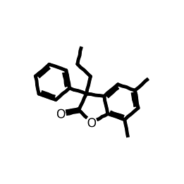 CCCC1(c2ccccc2)C(=O)Oc2c(C)cc(C)cc21